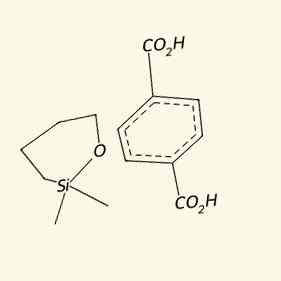 C[Si]1(C)CCCCO1.O=C(O)c1ccc(C(=O)O)cc1